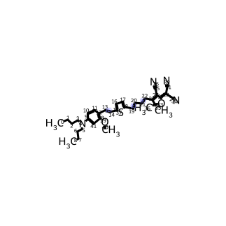 CCCCN(CCCC)c1ccc(/C=C/c2ccc(/C=C/C=C/C3=C(C#N)C(=C(C#N)C#N)OC3(C)C)s2)c(OC)c1